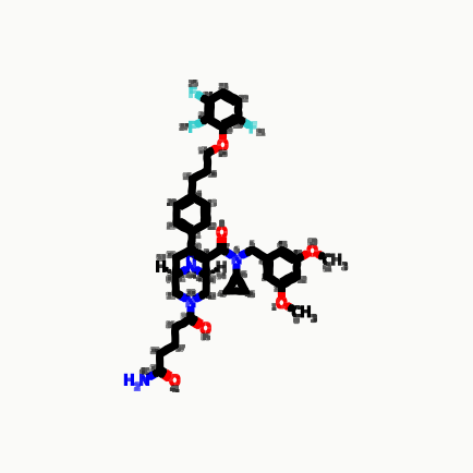 COc1cc(CN(C(=O)C2=C(c3ccc(CCCOc4c(F)ccc(F)c4F)cc3)C[C@@H]3CN(C(=O)CCCC(N)=O)C[C@H]2N3)C2CC2)cc(OC)c1